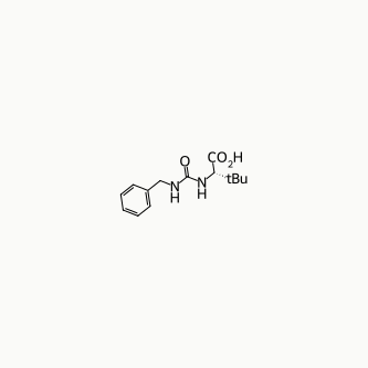 CC(C)(C)[C@H](NC(=O)NCc1ccccc1)C(=O)O